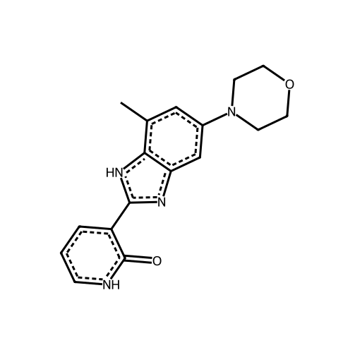 Cc1cc(N2CCOCC2)cc2nc(-c3ccc[nH]c3=O)[nH]c12